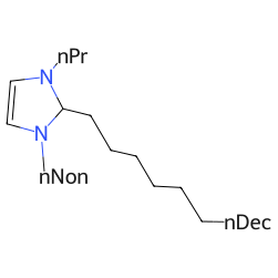 CCCCCCCCCCCCCCCCC1N(CCC)C=CN1CCCCCCCCC